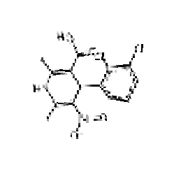 CC1=C(C(=O)O)C(c2cccc(Cl)c2Cl)C([N+](=O)[O-])=C(C)N1